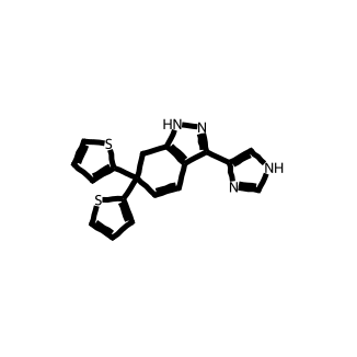 C1=CC(c2cccs2)(c2cccs2)Cc2[nH]nc(-c3c[nH]cn3)c21